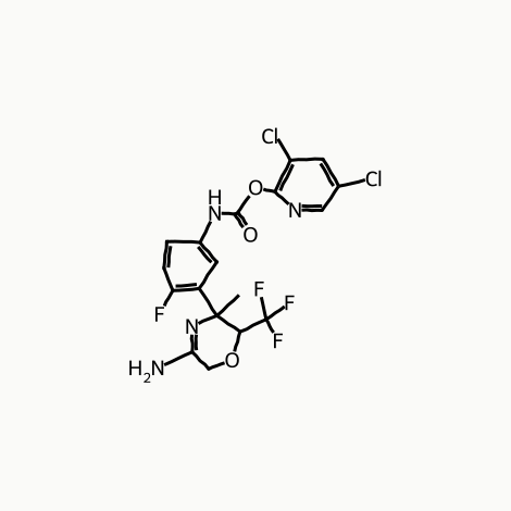 CC1(c2cc(NC(=O)Oc3ncc(Cl)cc3Cl)ccc2F)N=C(N)COC1C(F)(F)F